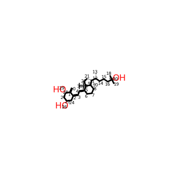 C=C1/C(=C\C=C2/CCC[C@]3(C)[C@@H]([C@H](C)CCCC(C)(C)O)CC[C@@H]23)CC(O)CC1O